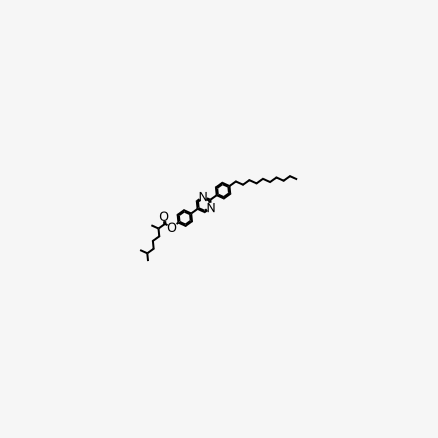 CCCCCCCCCCc1ccc(-c2ncc(-c3ccc(OC(=O)C(C)CCCC(C)C)cc3)cn2)cc1